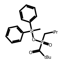 CC(C)CP(=O)(O[Si](C)(c1ccccc1)c1ccccc1)C(=O)C(C)(C)C